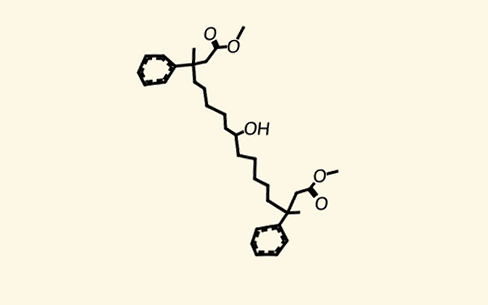 COC(=O)CC(C)(CCCCCC(O)CCCCCC(C)(CC(=O)OC)c1ccccc1)c1ccccc1